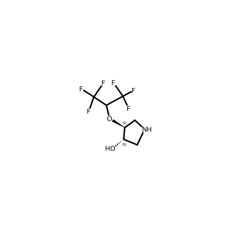 O[C@H]1CNC[C@@H]1OC(C(F)(F)F)C(F)(F)F